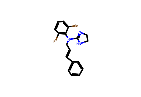 Brc1cccc(Br)c1N(CC=Cc1ccccc1)C1=NCCN1